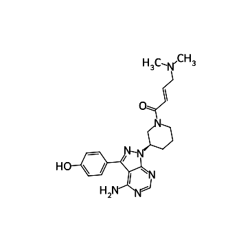 CN(C)C/C=C/C(=O)N1CCC[C@@H](n2nc(-c3ccc(O)cc3)c3c(N)ncnc32)C1